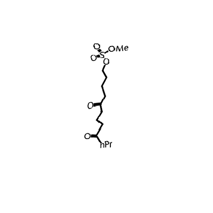 CCCC(=O)CCCC(=O)CCCCOS(=O)(=O)OC